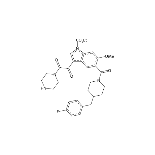 CCOC(=O)n1cc(C(=O)C(=O)N2CCNCC2)c2cc(C(=O)N3CCC(Cc4ccc(F)cc4)CC3)c(OC)cc21